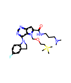 CN(C)CCCNC(=O)c1cc2ncnc(N3CCc4cc(F)ccc43)c2n1COCCS(C)(C)C